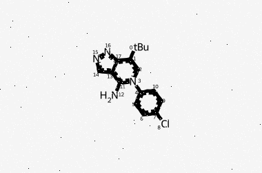 CC(C)(C)c1cn(-c2ccc(Cl)cc2)c(N)c2cnnc1-2